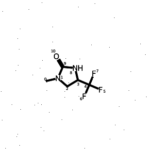 CN1CC(C(F)(F)F)NC1=O